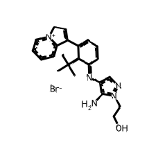 CC(C)(C)C1C(C2=CC[n+]3ccccc32)=CC=CC1=Nc1cnn(CCO)c1N.[Br-]